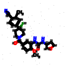 COc1ccc(C(=O)N2CCC(F)(C3=CC(C)C(C#N)C=C3)CC2)cc1NC(=O)NC1CCOC1